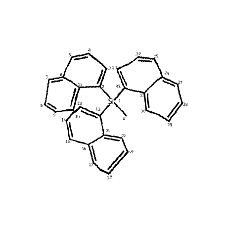 C[Si](c1cccc2ccccc12)(c1cccc2ccccc12)c1cccc2ccccc12